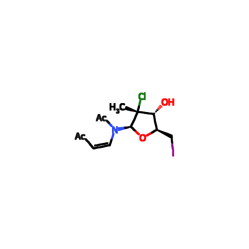 CC(=O)/C=C\N(C(C)=O)[C@@H]1O[C@H](CI)[C@@H](O)[C@@]1(C)Cl